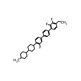 CCc1ccc(-c2ccc(-c3ccc(C4CCC(C5CCC(C)CC5)CC4)c(F)c3)cc2)c(F)c1F